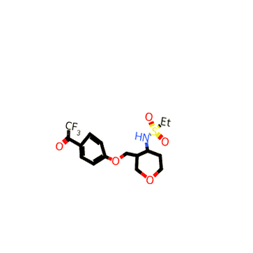 CCS(=O)(=O)NC1CCOCC1COc1ccc(C(=O)C(F)(F)F)cc1